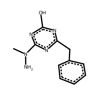 CN(N)c1nc(O)nc(Cc2ccccc2)n1